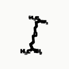 CC(N)CCCOCCCC(C)N